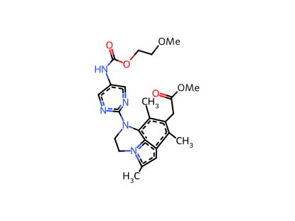 COCCOC(=O)Nc1cnc(N2CCn3c(C)cc4c(C)c(CC(=O)OC)c(C)c2c43)nc1